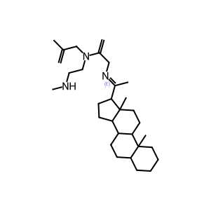 C=C(C)CN(CCNC)C(=C)C/N=C(\C)C1CCC2C3CCC4CCCCC4(C)C3CCC12C